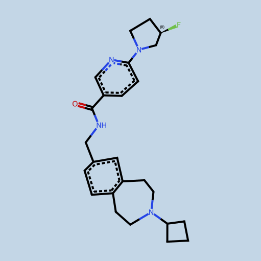 O=C(NCc1ccc2c(c1)CCN(C1CCC1)CC2)c1ccc(N2CC[C@@H](F)C2)nc1